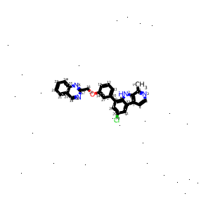 Cc1nccc2c1[nH]c1c(-c3cccc(OCc4ncc5ccccc5n4)c3)cc(Cl)cc12